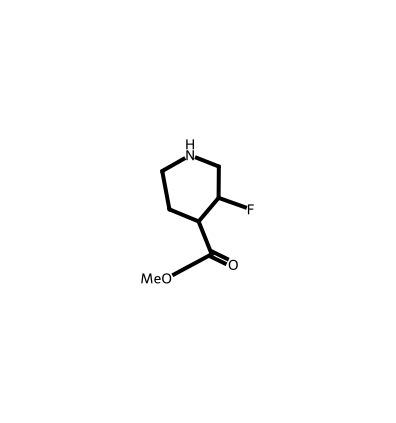 COC(=O)C1CCNCC1F